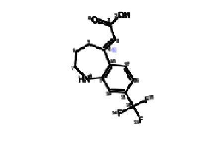 O=C(O)/C=C1\CCCNc2cc(C(F)(F)F)ccc21